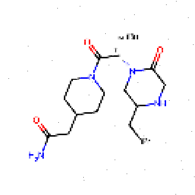 CC[C@H](C)[C@@H](C(=O)N1CCC(CC(N)=O)CC1)N1CC(CC(C)C)NCC1=O